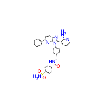 Nc1ncccc1-c1nc2ccc(-c3ccccc3)nc2n1-c1ccc(CNC(=O)c2ccc(S(N)(=O)=O)cc2)cc1